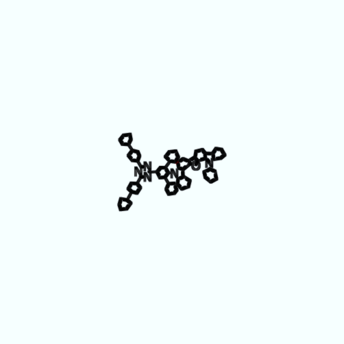 c1ccc(-c2ccc(-c3nc(-c4ccc(-c5ccccc5)cc4)nc(-c4cc(-c5ccccc5)c(-n5c6ccccc6c6c7oc8c(ccc9c%10ccccc%10n(-c%10ccccc%10)c98)c7ccc65)c(-c5ccccc5)c4)n3)cc2)cc1